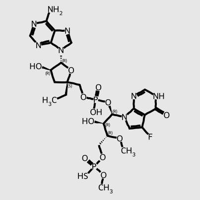 CC[C@@]1(COP(=O)(O)O[C@H]([C@H](O)[C@@H](COP(=O)(S)OC)OC)n2cc(F)c3c(=O)[nH]cnc32)C[C@@H](O)[C@H](n2cnc3c(N)ncnc32)O1